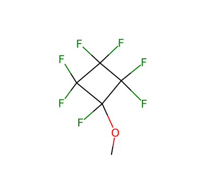 COC1(F)C(F)(F)C(F)(F)C1(F)F